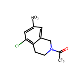 O=C(N1CCc2c(Cl)cc([N+](=O)[O-])cc2C1)C(F)(F)F